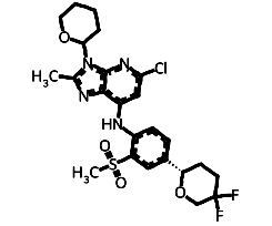 Cc1nc2c(Nc3ccc([C@@H]4CCC(F)(F)CO4)cc3S(C)(=O)=O)cc(Cl)nc2n1C1CCCCO1